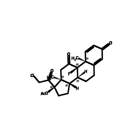 CC(=O)O[C@]1(C(=O)CCl)CC[C@H]2[C@@H]3CCC4=CC(=O)C=C[C@]4(C)[C@@]3(F)C(=O)C[C@@]21C